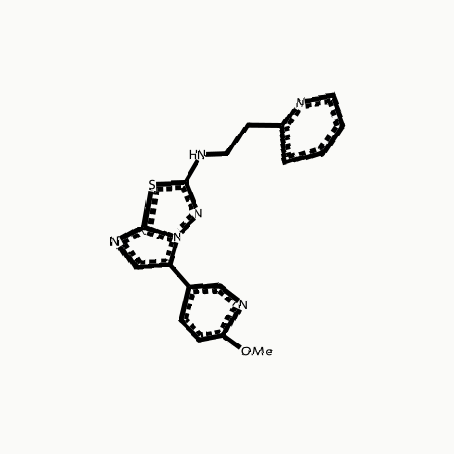 COc1ccc(-c2cnc3sc(NCCc4ccccn4)nn23)cn1